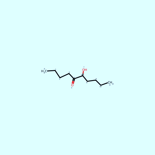 CCCCC(=O)C(O)CCCC